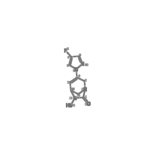 O=C1N2CC(n3cc(F)cn3)=CC(C2)N1S